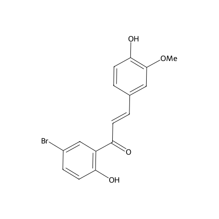 COc1cc(C=CC(=O)c2cc(Br)ccc2O)ccc1O